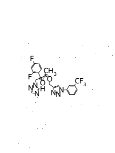 C[C@@H](OCc1cn(-c2cccc(C(F)(F)F)c2)nn1)[C@](O)(Cn1cncn1)c1ccc(F)cc1F